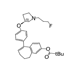 CC(C)(C)C(=O)Oc1ccc2c(c1)CCCC=C2c1ccc(O[C@H]2CCN(CCCF)C2)cc1